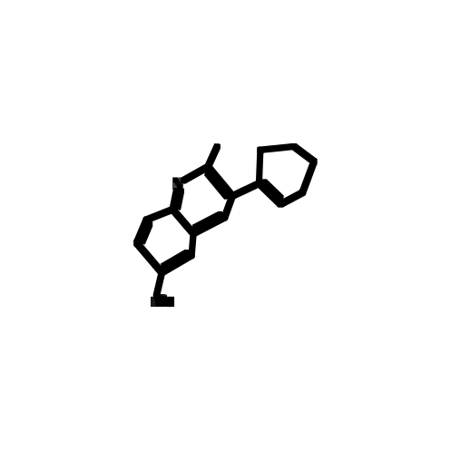 CCCCc1ccc2nc(C)c(C3=CCCCC3)cc2c1